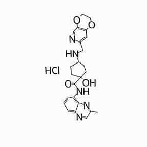 Cc1cnc2cccc(NC(=O)C3(O)CCC(NCc4cc5c(cn4)OCCO5)CC3)c2n1.Cl